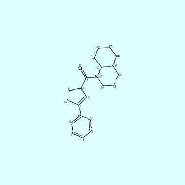 O=C(C1C=C(c2ccccc2)SC1)N1CCCC2CCCCC21